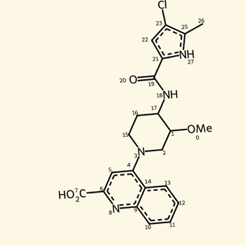 COC1CN(c2cc(C(=O)O)nc3ccccc23)CCC1NC(=O)c1cc(Cl)c(C)[nH]1